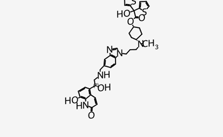 CN(CCCn1cnc2cc(CNC[C@H](O)c3ccc(O)c4[nH]c(=O)ccc34)ccc21)[C@H]1CC[C@H](OC(=O)C(O)(c2cccs2)c2cccs2)CC1